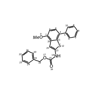 COc1ccc(-c2ccccc2)c2sc(NC(=O)OCc3ccccc3)cc12